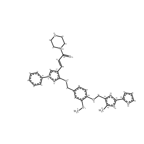 COc1cc(COc2nn(-c3ccccc3)cc2C=CC(=O)N2CCOCC2)ccc1OCc1nc(-c2ccco2)oc1C